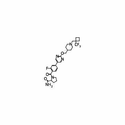 NC(=O)C1CCCN1C(=O)c1ccc(-c2cnc(OCC3CCN(CC4(C(F)(F)F)CCC4)CC3)nc2)cc1F